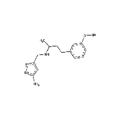 Cc1cc(CNC(C)CCc2cccc(OS)c2)no1